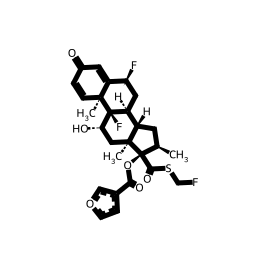 C[C@@H]1C[C@H]2[C@@H]3C[C@H](F)C4=CC(=O)C=C[C@]4(C)[C@@]3(F)[C@@H](O)C[C@]2(C)[C@@]1(OC(=O)c1ccoc1)C(=O)SCF